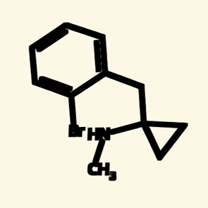 CNC1(Cc2ccccc2Br)CC1